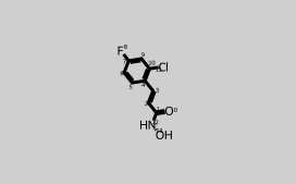 O=C(/C=C/c1ccc(F)cc1Cl)NO